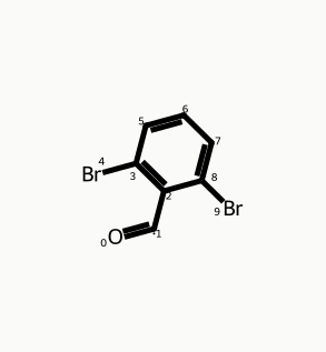 O=[C]c1c(Br)cccc1Br